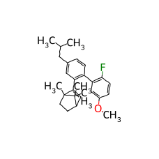 COc1ccc(F)c(-c2ccc(CC(C)C)cc2C2=CC3CCC2(C)C3(C)C)c1